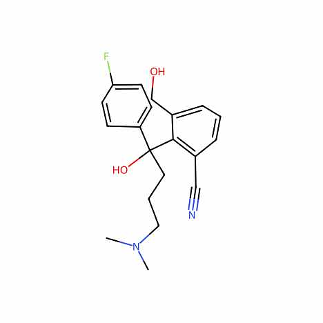 CN(C)CCCC(O)(c1ccc(F)cc1)c1c(C#N)cccc1CO